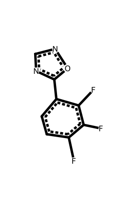 Fc1ccc(-c2ncno2)c(F)c1F